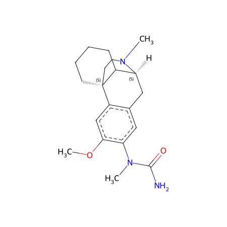 COc1cc2c(cc1N(C)C(N)=O)C[C@H]1C3CCCC[C@@]23CCN1C